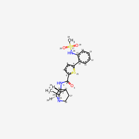 C[C@H]1[C@H](NC(=O)c2ccc(-c3ccccc3NS(C)(=O)=O)s2)C2CCN1CC2